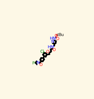 CC(C)(C)OC(=O)Nc1ccc(CNC(=O)/C=C/C2Cc3cc(-c4ccc(C(=O)N5CC(F)C5)cc4)cc(Cl)c3O2)cn1